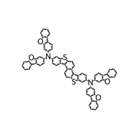 c1ccc2c(c1)oc1cc(N(c3ccc4c(c3)oc3ccccc34)c3ccc4c(c3)sc3ccc5c(ccc6sc7cc(N(c8ccc9c(c8)oc8ccccc89)c8ccc9c(c8)oc8ccccc89)ccc7c65)c34)ccc12